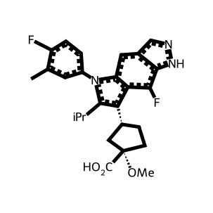 CO[C@@]1(C(=O)O)CC[C@@H](c2c(C(C)C)n(-c3ccc(F)c(C)c3)c3cc4cn[nH]c4c(F)c23)C1